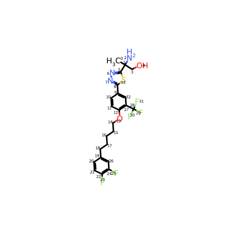 CC(N)(CO)c1nnc(-c2ccc(OCCCCCc3ccc(F)c(F)c3)c(C(F)(F)F)c2)s1